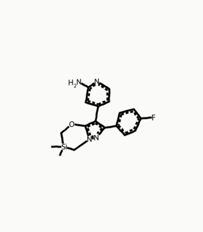 C[Si]1(C)COc2c(-c3ccnc(N)c3)c(-c3ccc(F)cc3)nn2C1